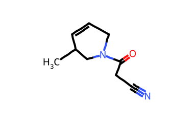 CC1C=CCN(C(=O)CC#N)C1